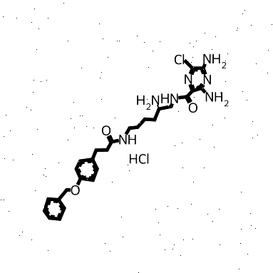 Cl.Nc1nc(N)c(C(=O)NC[C@@H](N)CCCCNC(=O)CCc2ccc(OCc3ccccc3)cc2)nc1Cl